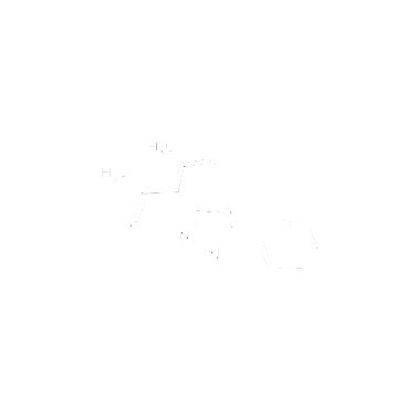 CC(=O)C(C(C)=O)c1nnc(-c2ccccc2)o1